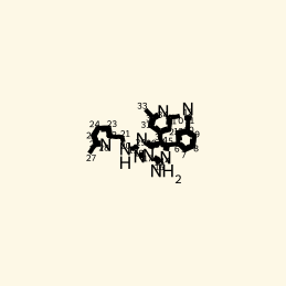 Cc1cc(-c2c(-c3cccc(C#N)c3)nc(N)n3nc(NCc4cccc(C)n4)nc23)cc(C)n1